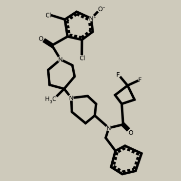 CC1(N2CCC(N(Cc3ccccc3)C(=O)C3CC(F)(F)C3)CC2)CCN(C(=O)c2c(Cl)c[n+]([O-])cc2Cl)CC1